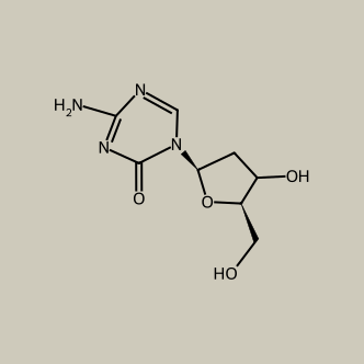 Nc1ncn([C@H]2CC(O)[C@@H](CO)O2)c(=O)n1